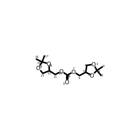 CC1(C)OCC(COC(=O)OCC2COC(C)(C)O2)O1